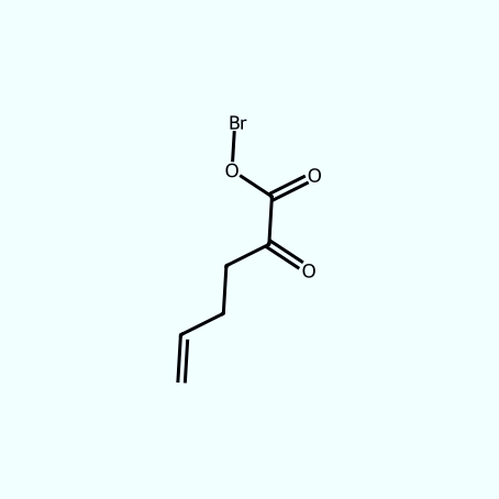 C=CCCC(=O)C(=O)OBr